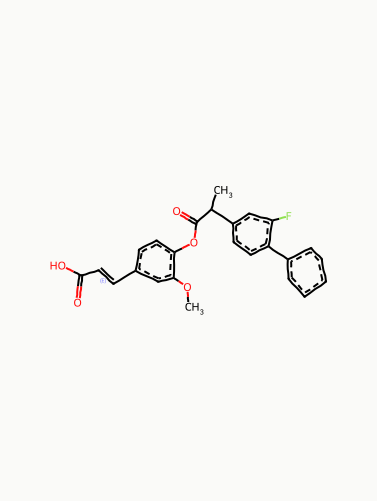 COc1cc(/C=C/C(=O)O)ccc1OC(=O)C(C)c1ccc(-c2ccccc2)c(F)c1